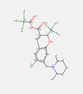 CC1CCCC(C)N1Cc1cc2c(cc1Cl)C=C(C(=O)OC(=O)C(F)(F)F)C(C(F)(F)F)O2